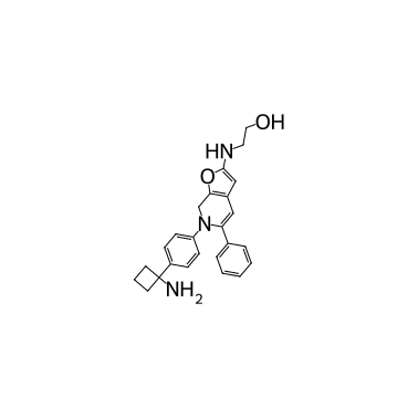 NC1(c2ccc(N3Cc4oc(NCCO)cc4C=C3c3ccccc3)cc2)CCC1